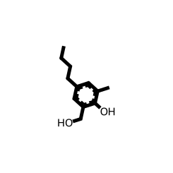 CCCCc1cc(C)c(O)c(CO)c1